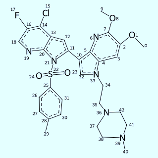 COc1cc2c(nc1OC)c(-c1cc3c(Cl)c(F)cnc3n1S(=O)(=O)c1ccc(C)cc1)cn2CCN1CCN(C)CC1